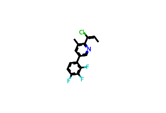 C/C=C(/Cl)c1ncc(-c2ccc(F)c(F)c2F)cc1C